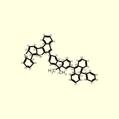 CC1(C)c2ccc(-c3cc4ccccc4c4c3sc3c4ccc4sc5ccccc5c43)cc2-c2ccc(-c3c4ccccc4c(-c4ccccc4)c4ccccc34)cc21